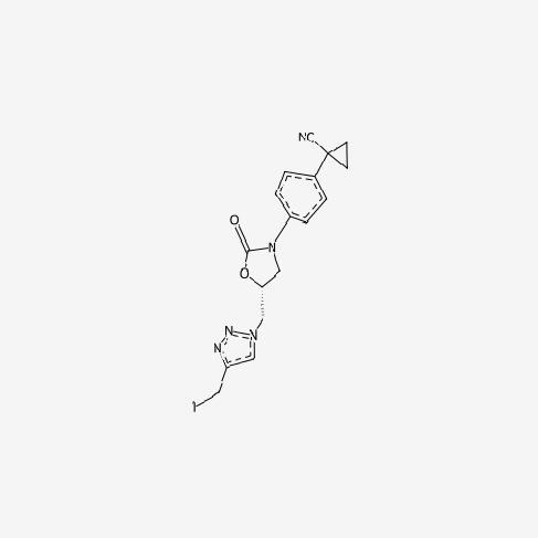 N#CC1(c2ccc(N3C[C@H](Cn4cc(CI)nn4)OC3=O)cc2)CC1